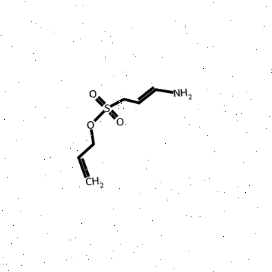 C=CCOS(=O)(=O)CC=CN